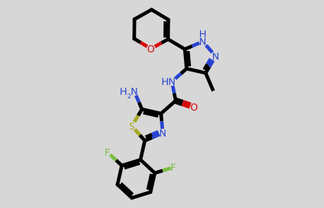 Cc1n[nH]c(C2=CCCCO2)c1NC(=O)c1nc(-c2c(F)cccc2F)sc1N